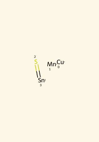 [Cu].[Mn].[S]=[Sn]